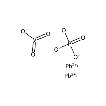 O=P([O-])([O-])[O-].[O]=[V](=[O])[O-].[Pb+2].[Pb+2]